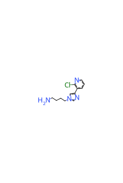 NCCCCn1cnc(-c2cccnc2Cl)c1